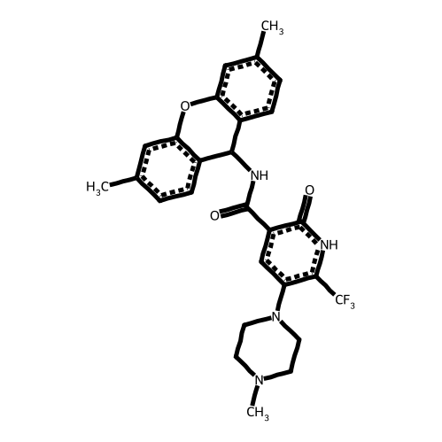 Cc1ccc2c(c1)Oc1cc(C)ccc1C2NC(=O)c1cc(N2CCN(C)CC2)c(C(F)(F)F)[nH]c1=O